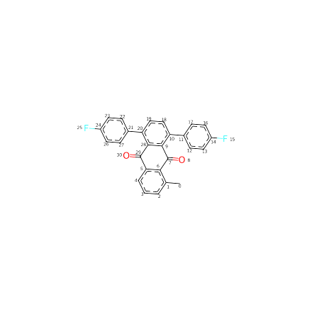 Cc1cccc2c1C(=O)c1c(-c3ccc(F)cc3)ccc(-c3ccc(F)cc3)c1C2=O